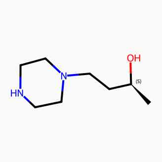 C[C@H](O)CCN1CCNCC1